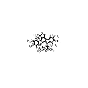 Cc1c(C)c(C)c2c(c1C)c1c3c(c4c5c(C)c(C)c(C)c(C)c5n5c4c1n2C1(C)OC5(C)C(C)CC1C)C(C)CC3